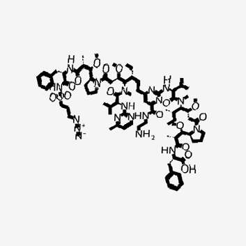 CC[C@H](CCc1cc(C(=O)NCCN)nc(N[C@H](C(=O)N(C)[C@@H]([C@@H](C)CC)[C@@H](CC(=O)N2CCC[C@H]2[C@H](OC)[C@@H](C)C(=O)N[C@@H](Cc2ccccc2)C(=O)O)OC)C(C)C)n1)[C@@H]([C@@H](CC(=O)N1CCC[C@H]1[C@H](OC)[C@@H](C)C(=O)N[C@@H](Cc1ccccc1)C(=O)NS(=O)(=O)CCCN=[N+]=[N-])OC)N(C)C(=O)[C@@H](Nc1nccc(C)n1)C(C)C